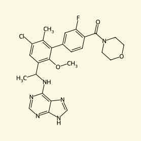 COc1c(C(C)Nc2ncnc3[nH]cnc23)cc(Cl)c(C)c1-c1ccc(C(=O)N2CCOCC2)c(F)c1